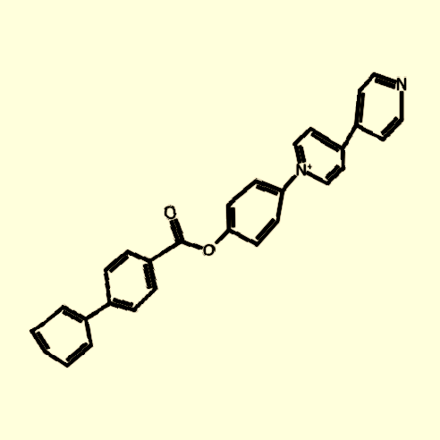 O=C(Oc1ccc(-[n+]2ccc(-c3ccncc3)cc2)cc1)c1ccc(-c2ccccc2)cc1